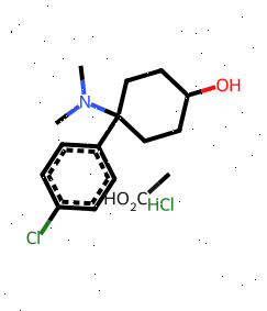 CC(=O)O.CN(C)C1(c2ccc(Cl)cc2)CCC(O)CC1.Cl